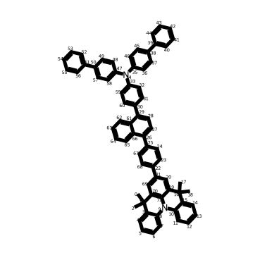 CC1(C)c2ccccc2N2c3ccccc3C(C)(C)c3cc(-c4ccc(-c5ccc(-c6ccc(N(c7ccc(-c8ccccc8)cc7)c7ccc(-c8ccccc8)cc7)cc6)c6ccccc56)cc4)cc1c32